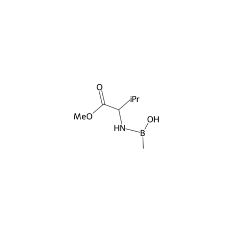 COC(=O)C(NB(C)O)C(C)C